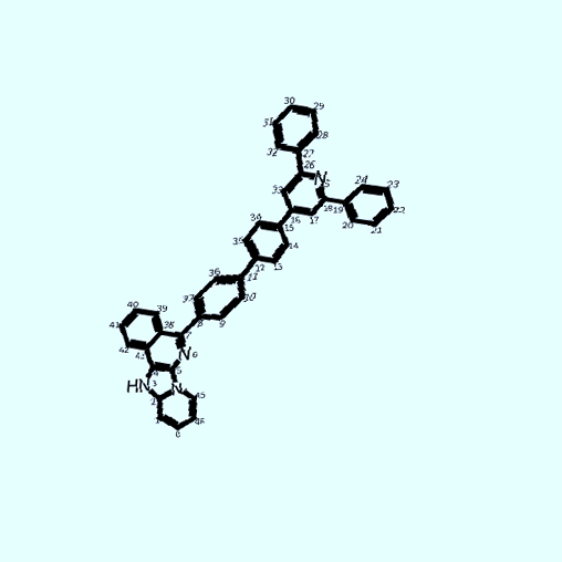 C1=CC2Nc3c(nc(-c4ccc(-c5ccc(-c6cc(-c7ccccc7)nc(-c7ccccc7)c6)cc5)cc4)c4ccccc34)N2C=C1